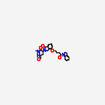 CNC(=O)C(CCC=O)N1Cc2c(OCCCC(=O)N3CCc4ccccc43)cccc2C1=O